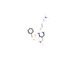 Cc1cc(CC(N)=O)c(NS(=O)(=O)Cc2ccccc2)c(=O)n1CCCONC(=N)N